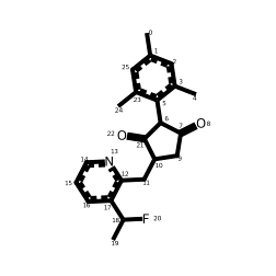 Cc1cc(C)c(C2C(=O)CC(Cc3ncccc3C(C)F)C2=O)c(C)c1